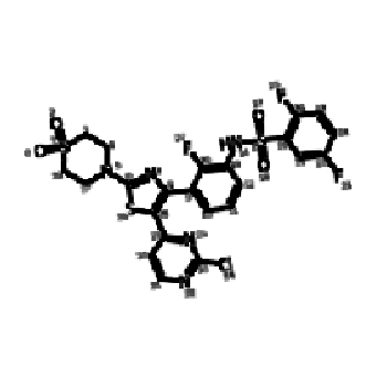 O=S1(=O)CCN(c2nc(-c3cccc(NS(=O)(=O)c4cc(F)ccc4F)c3F)c(-c3ccnc(Cl)n3)s2)CC1